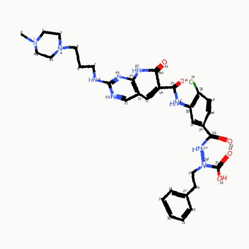 CN1CCN(CCCNc2ncc3cc(C(=O)Nc4cc(C(=O)NN(CCc5ccccc5)C(=O)O)ccc4Cl)c(=O)[nH]c3n2)CC1